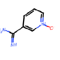 N=C(N)c1ccc[n+]([O-])c1